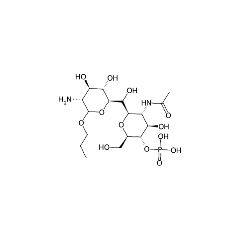 CCCOC1O[C@H](C(O)[C@@H]2O[C@H](CO)[C@@H](OP(=O)(O)O)[C@H](O)[C@H]2NC(C)=O)[C@@H](O)[C@H](O)[C@H]1N